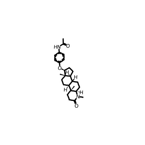 CC(=O)Nc1ccc(O[C@H]2CC[C@H]3[C@@H]4CC[C@H]5N(C)C(=O)CC[C@]5(C)[C@H]4CC[C@]23C)cc1